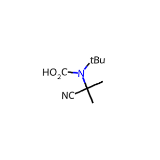 CC(C)(C)N(C(=O)O)C(C)(C)C#N